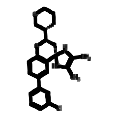 CC1=C(N)N[C@@]2(C[C@H]([C@H]3CCCOC3)Oc3ccc(-c4cccc(Cl)c4)cc32)N1